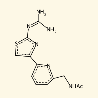 CC(=O)NCc1cccc(-c2csc(N=C(N)N)n2)n1